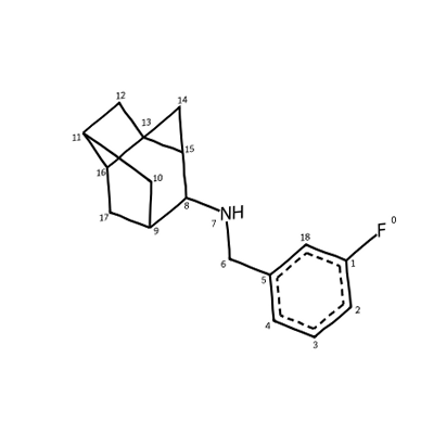 Fc1cccc(CNC2C3CC4CC5(CC25)C4C3)c1